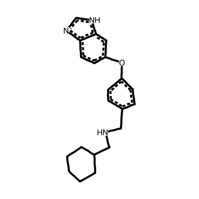 c1nc2ccc(Oc3ccc(CNCC4CCCCC4)cc3)cc2[nH]1